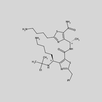 CCC(C)(C)N[C@@H](CCCCN)c1nc(CC(C)C)sc1C(=O)N[C@@H](C)c1nc(CCCCN)sc1C(N)=O